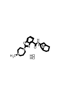 CN1CCCN(c2nc3c(C(=O)NC4CC5CCCC(C4)N5C)cccc3o2)CC1.Cl.Cl